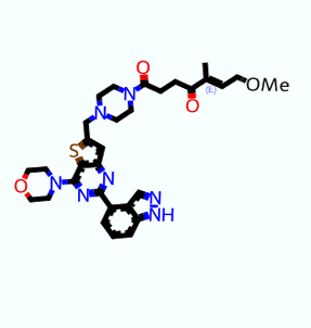 COC/C=C(\C)C(=O)CCC(=O)N1CCN(Cc2cc3nc(-c4cccc5[nH]ncc45)nc(N4CCOCC4)c3s2)CC1